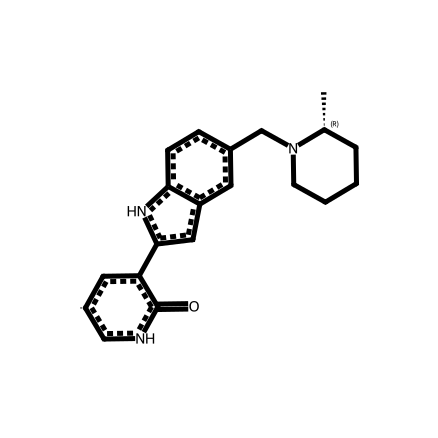 C[C@@H]1CCCCN1Cc1ccc2[nH]c(-c3c[c]c[nH]c3=O)cc2c1